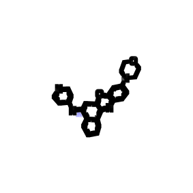 c1ccc2/c(=N/c3ccncc3)cc3oc4cc(N5CCOCC5)ccc4nc-3c2c1